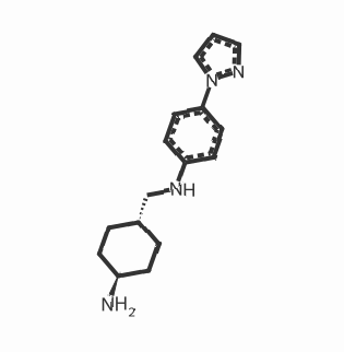 N[C@H]1CC[C@H](CNc2ccc(-n3cccn3)cc2)CC1